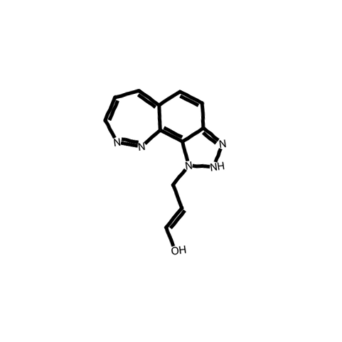 OC=CCN1NN=c2ccc3c(c21)N=NC=CC=3